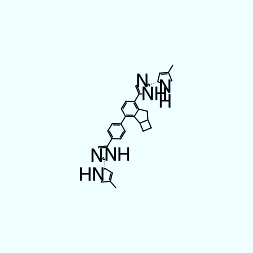 CC1=C[C@@H](c2ncc(-c3ccc(-c4ccc(-c5cnc([C@@H]6C=C(C)CN6)[nH]5)c5c4C4CCC4C5)cc3)[nH]2)NC1